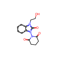 O=C1CCCC(=O)N1n1c(=O)n(CCO)c2ccccc21